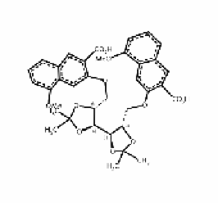 COc1cccc2cc(C(=O)O)c(OC[C@@H]3OC(C)(C)O[C@H]3[C@H]3OC(C)(C)O[C@@H]3COc3cc4c(OC)cccc4cc3C(=O)O)cc12